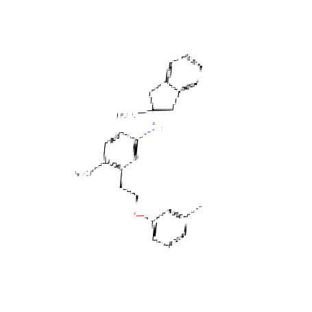 COc1ccc(NC2(C(=O)O)Cc3ccccc3C2)cc1CCOc1cccc(C)c1